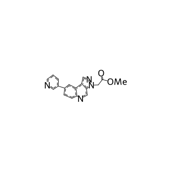 COC(=O)Cn1ncc2c3cc(-c4cccnc4)ccc3ncc21